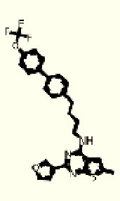 Cc1cc2c(NCCCCc3ccc(-c4ccc(OC(F)(F)F)cc4)cc3)nc(-c3ccoc3)nc2s1